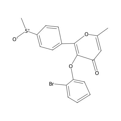 Cc1cc(=O)c(Oc2ccccc2Br)c(-c2ccc([S+](C)[O-])cc2)o1